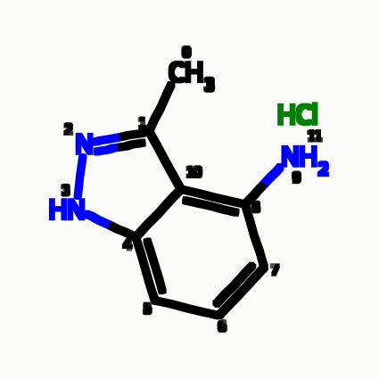 Cc1n[nH]c2cccc(N)c12.Cl